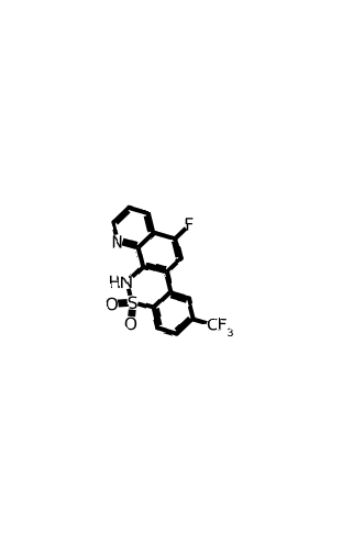 O=S1(=O)Nc2c(cc(F)c3cccnc23)-c2cc(C(F)(F)F)ccc21